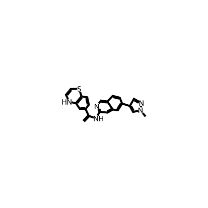 C=C(Nc1cc2cc(-c3cnn(C)c3)ccc2cn1)c1ccc2c(c1)NC=CS2